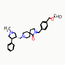 CN1C[C@H](CN2CCC3(CC2)CCN(Cc2ccc(COC=O)cc2)C3=O)[C@@H](c2ccccc2)C1